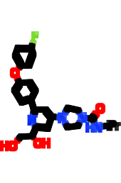 CC(C)NC(=O)N1CCN(c2cc(-c3ccc(Oc4ccc(F)cc4)cc3)nc([C@@H](O)CO)c2)CC1